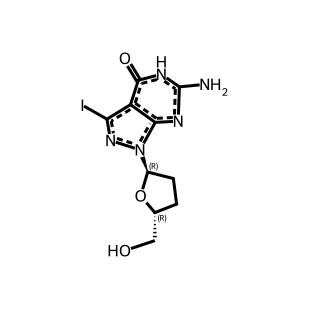 Nc1nc2c(c(I)nn2[C@H]2CC[C@H](CO)O2)c(=O)[nH]1